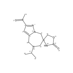 CC(=O)c1cc2n(n1)CC1(COC(=O)N1)CN(C(C)C)C2